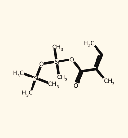 CC=C(C)C(=O)O[Si](C)(C)O[Si](C)(C)C